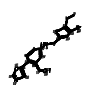 CCc1sc(CNc2ccc(-c3cnco3)c(CO)c2)cc1Br